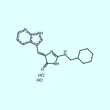 Cl.Cl.O=C1NC(NCC2CCCCC2)=NC1=Cc1c[nH]c2ncccc12